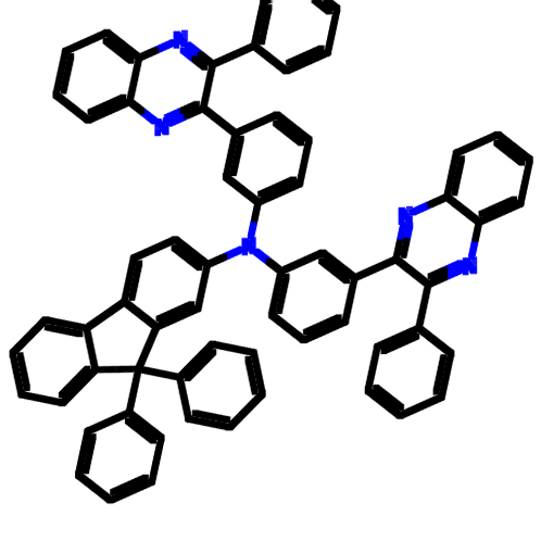 c1ccc(-c2nc3ccccc3nc2-c2cccc(N(c3cccc(-c4nc5ccccc5nc4-c4ccccc4)c3)c3ccc4c(c3)C(c3ccccc3)(c3ccccc3)c3ccccc3-4)c2)cc1